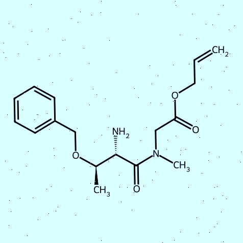 C=CCOC(=O)CN(C)C(=O)[C@@H](N)[C@@H](C)OCc1ccccc1